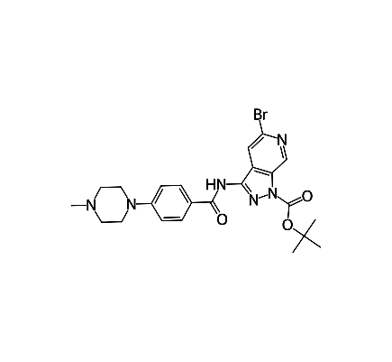 CN1CCN(c2ccc(C(=O)Nc3nn(C(=O)OC(C)(C)C)c4cnc(Br)cc34)cc2)CC1